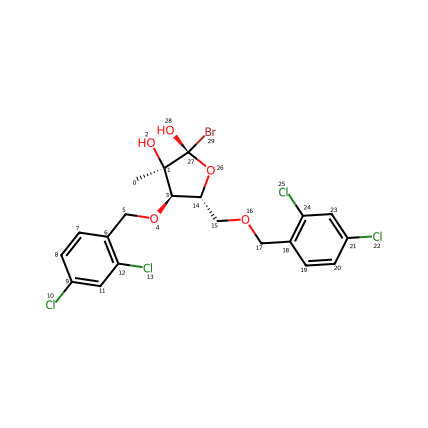 C[C@@]1(O)[C@H](OCc2ccc(Cl)cc2Cl)[C@@H](COCc2ccc(Cl)cc2Cl)O[C@@]1(O)Br